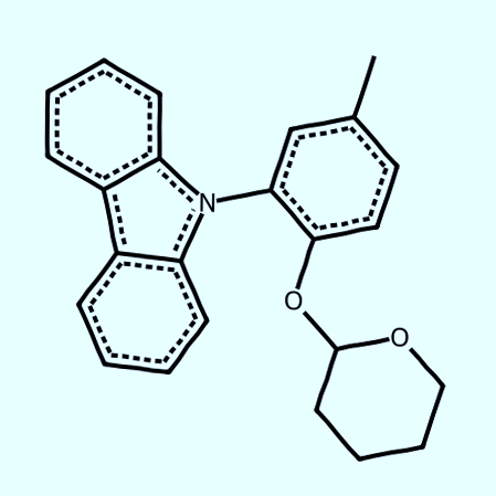 Cc1ccc(OC2CCCCO2)c(-n2c3ccccc3c3ccccc32)c1